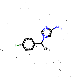 CC(c1ccc(F)cc1)n1cnc(N)c1